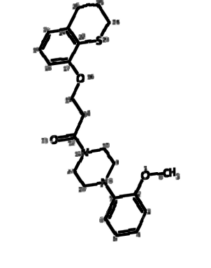 COc1ccccc1N1CCN(C(=O)CCOc2cccc3c2SCCC3)CC1